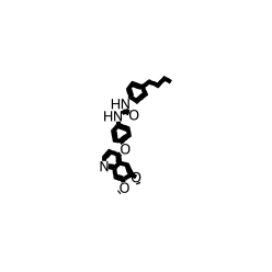 CCCCc1ccc(NC(=O)Nc2ccc(Oc3ccnc4cc(OC)c(OC)cc34)cc2)cc1